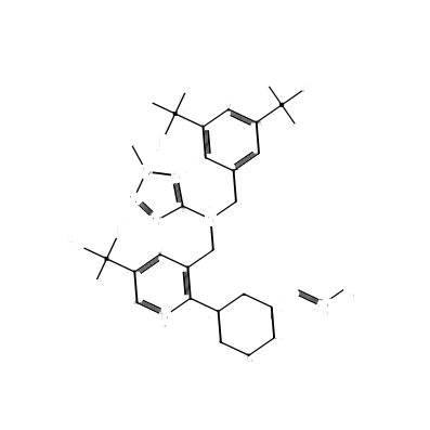 Cn1nnc(N(Cc2cc(C(F)(F)F)cc(C(F)(F)F)c2)Cc2cc(C(F)(F)F)cnc2C2CCC[C@@H](C=NO)C2)n1